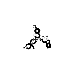 CCC1(N2CCN(C(=O)C(Cc3ccc(Cl)cc3)NC(=O)CC3NCc4ccccc43)CC2)CCN(C)CC1